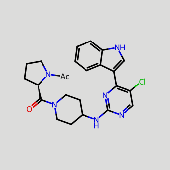 CC(=O)N1CCC[C@@H]1C(=O)N1CCC(Nc2ncc(Cl)c(-c3c[nH]c4ccccc34)n2)CC1